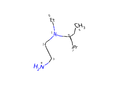 CCN(CCN)C(C)C(C)C